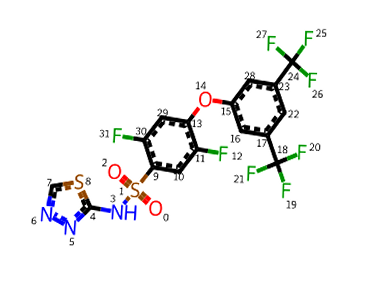 O=S(=O)(Nc1nncs1)c1cc(F)c(Oc2cc(C(F)(F)F)cc(C(F)(F)F)c2)cc1F